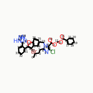 CCCCc1nc(Cl)c(C(=O)OCOC(=O)c2ccccc2)n1Cc1ccc2oc(-c3ccccc3-c3nnn[nH]3)c(Br)c2c1